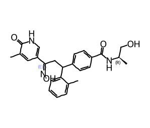 Cc1ccccc1C(C/C(=N\O)c1c[nH]c(=O)c(C)c1)c1ccc(C(=O)N[C@H](C)CO)cc1